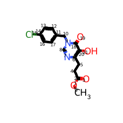 COC(=O)CCc1ncn(Cc2ccc(Cl)cc2)c(=O)c1O